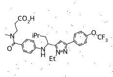 CCn1nc(-c2ccc(OC(F)(F)F)cc2)cc1C(CC(C)C)Nc1ccc(C(=O)N(C)CCC(=O)O)cc1